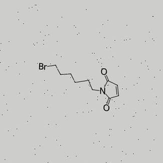 O=C1C=CC(=O)N1CCCCCCBr